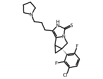 Fc1ccc(Cl)c(F)c1[C@]12CC1c1c(CCCN3CCCC3)[nH]c(=S)n1C2